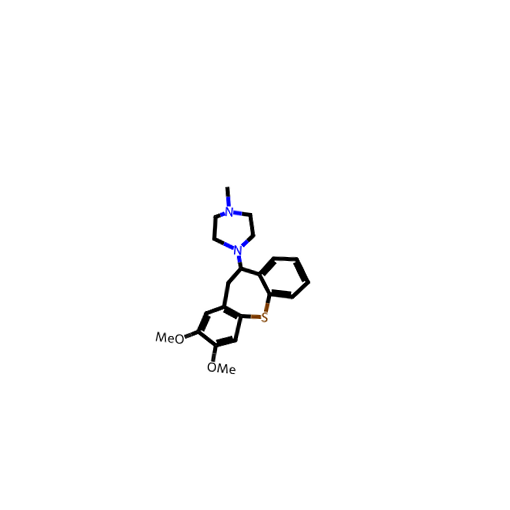 COc1cc2c(cc1OC)Sc1ccccc1C(N1CCN(C)CC1)C2